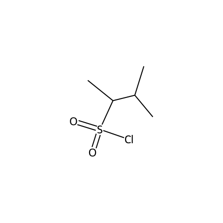 CC(C)C(C)S(=O)(=O)Cl